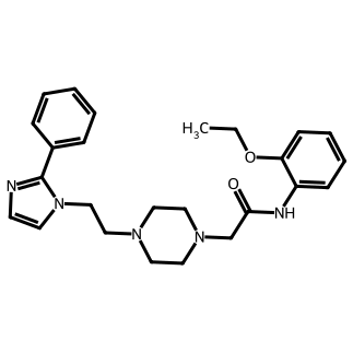 CCOc1ccccc1NC(=O)CN1CCN(CCn2ccnc2-c2ccccc2)CC1